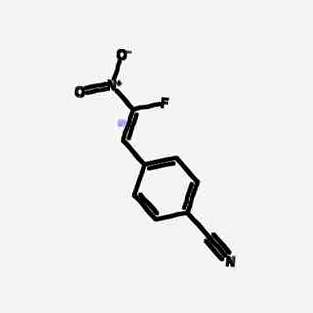 N#Cc1ccc(/C=C(\F)[N+](=O)[O-])cc1